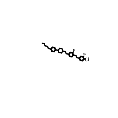 CCCCCc1ccc(C2CCC(CCc3ccc(CCc4ccc(Cl)c(F)c4)c(F)c3)CC2)cc1